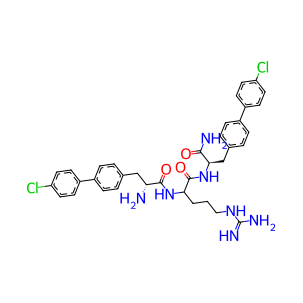 N=C(N)NCCCC(NC(=O)[C@H](N)Cc1ccc(-c2ccc(Cl)cc2)cc1)C(=O)N[C@H](Cc1ccc(-c2ccc(Cl)cc2)cc1)C(N)=O